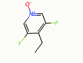 CCc1c(F)c[n+]([O-])cc1F